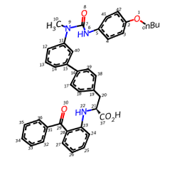 CCCCOc1ccc(NC(=O)N(C)c2cccc(-c3ccc(C[C@H](Nc4ccccc4C(=O)c4ccccc4)C(=O)O)cc3)c2)cc1